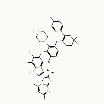 Cc1cc(C)n2nc(S(=O)(=O)NC(=O)c3ccc(CC4=C(c5ccc(Cl)cc5)CC(C)(C)CC4)c(N4CCNCC4)c3Oc3cc4cc[nH]c4c(F)c3F)nc2n1